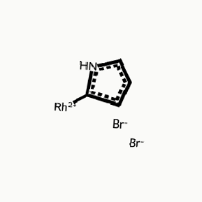 [Br-].[Br-].[Rh+2][c]1ccc[nH]1